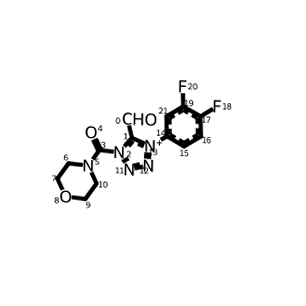 O=Cc1n(C(=O)N2CCOCC2)nn[n+]1-c1ccc(F)c(F)c1